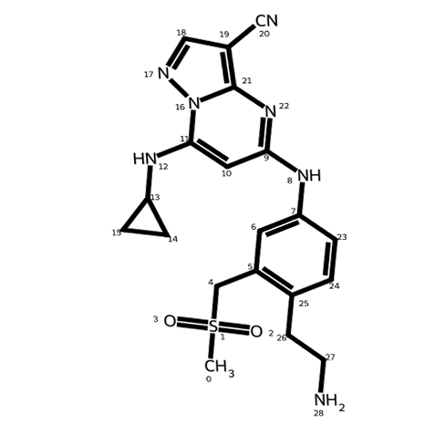 CS(=O)(=O)Cc1cc(Nc2cc(NC3CC3)n3ncc(C#N)c3n2)ccc1CCN